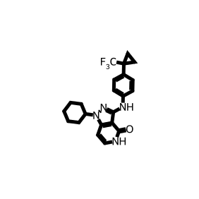 O=c1[nH]ccc2c1c(Nc1ccc(C3(C(F)(F)F)CC3)cc1)nn2C1CCCCC1